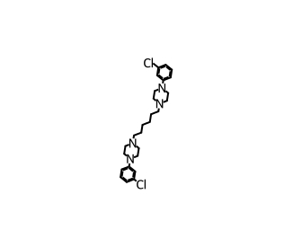 Clc1cccc(N2CCN(CCCCCCN3CCN(c4cccc(Cl)c4)CC3)CC2)c1